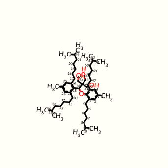 Cc1cc(CCCCCC(C)C)c(OC(c2c(CCCCCC(C)C)cc(C)cc2CCCCCC(C)C)C(CO)(CO)CO)c(CCCCCC(C)C)c1